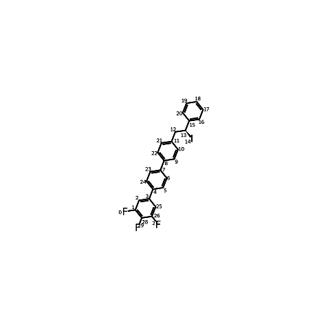 Fc1cc(-c2ccc(-c3ccc(C[C@H](I)c4ccccc4)cc3)cc2)cc(F)c1F